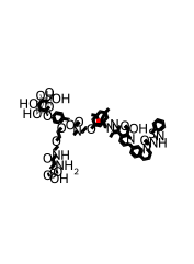 Cc1c(-c2ccc(-c3ccc4c(c3)N(C(=O)Nc3nc5ccccc5s3)CCC4)nc2C(=O)O)cnn1CC12CC3(C)CC(C)(C1)CC(OCCN(C)C(=O)OCc1ccc(O[C@@H]4O[C@H](C(=O)O)[C@@H](O)[C@H](O)[C@H]4O)cc1OCCOCCNC(=O)[C@@H](N)CS(=O)(=O)O)(C3)C2